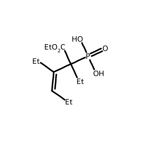 CCC=C(CC)C(CC)(C(=O)OCC)P(=O)(O)O